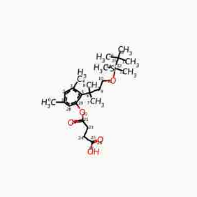 Cc1cc(C)c(C(C)(C)CCO[Si](C)(C)C(C)(C)C)c(OC(=O)CCC(=O)O)c1